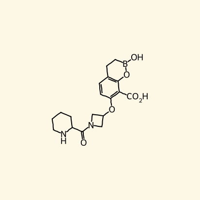 O=C(O)c1c(OC2CN(C(=O)C3CCCCN3)C2)ccc2c1OB(O)CC2